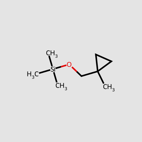 CC1(CO[Si](C)(C)C)CC1